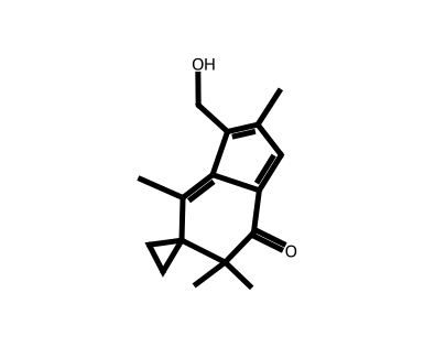 CC1=C(CO)C2=C(C)C3(CC3)C(C)(C)C(=O)C2=C1